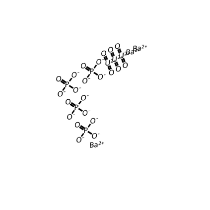 O=P([O-])([O-])[O-].O=P([O-])([O-])[O-].O=P([O-])([O-])[O-].O=P([O-])([O-])[O-].[Ba+2].[Ba+2].[Ba+2].[O]=[U+2]=[O].[O]=[U+2]=[O].[O]=[U+2]=[O]